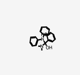 CN(C)C(O)(c1ccccc1O)N(c1ccccc1)c1ccccc1